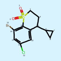 O=S1(=O)CCC(C2CC2)c2cc(Cl)cc(Br)c21